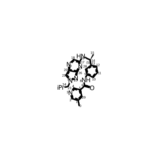 Cc1cncc(C(=O)Nc2cccc([C@H](C)Nc3cnc4cn(CC(C)C)nc4n3)c2)c1